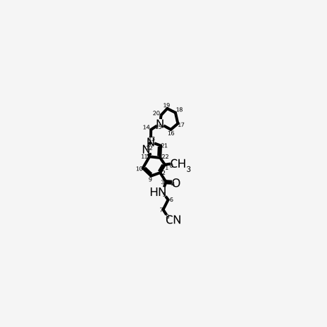 Cc1c(C(=O)NCCC#N)ccc2nn(CN3CCCCC3)cc12